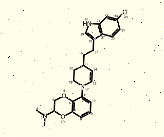 CN(C)C1COc2c(cccc2N2C=CC(CCc3c[nH]c4cc(Cl)ccc34)CC2)O1